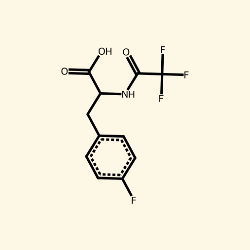 O=C(O)C(Cc1ccc(F)cc1)NC(=O)C(F)(F)F